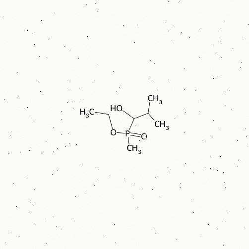 CCOP(C)(=O)C(O)C(C)C